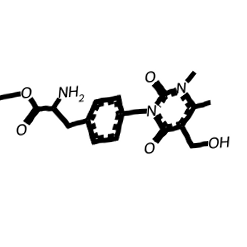 COC(=O)C(N)Cc1ccc(-n2c(=O)c(CO)c(C)n(C)c2=O)cc1